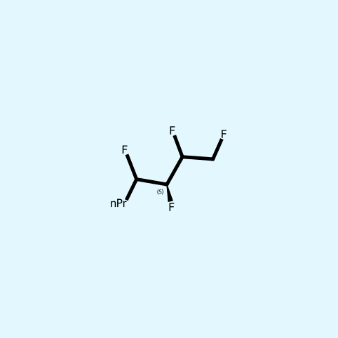 [CH2]CCC(F)[C@H](F)C(F)CF